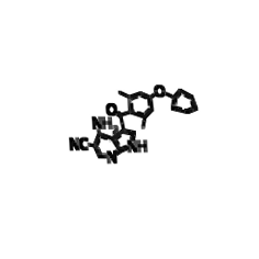 Cc1cc(Oc2ccccc2)cc(C)c1C(=O)c1c[nH]c2ncc(C#N)c(N)c12